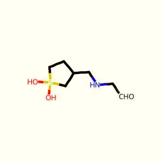 O=CCNCC1CCS(O)(O)C1